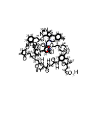 C/C=C(/C=C\C(OCCN1CC[N+](C)(Cc2ccc(NC(=O)CNC(=O)C(NC(=O)CCOCCN3C(=O)C=CC3=O)C(C)C)cc2CN(C)C(=O)CCS(=O)(=O)O)CC1)=C(/C)Cl)c1c(-c2ccc(F)cc2)sc2ncnc(OC(Cc3ccccc3OCc3ccnc(-c4ccccc4OC)n3)C(=O)O)c12